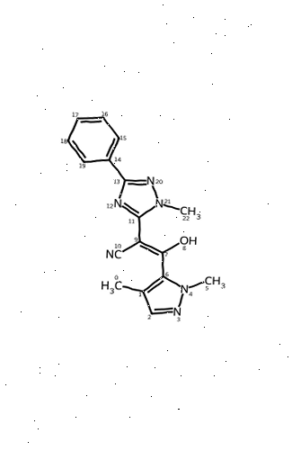 Cc1cnn(C)c1C(O)=C(C#N)c1nc(-c2ccccc2)nn1C